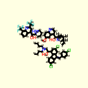 C=C[C@H]1C[N@]2CC[C@H]1C[C@H]2[C@H](O)c1ccnc2ccc(OC)cc12.CCCCN(CCCC)CC(O)c1cc(Cl)cc2c1-c1ccc(Cl)cc1/C2=C/c1ccc(Cl)cc1.O[C@@H](c1cc(C(F)(F)F)nc2c(C(F)(F)F)cccc12)[C@H]1CCCCN1